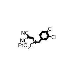 CCOC(=O)N(C=C(C#N)C#N)Cc1ccc(Cl)c(Cl)c1